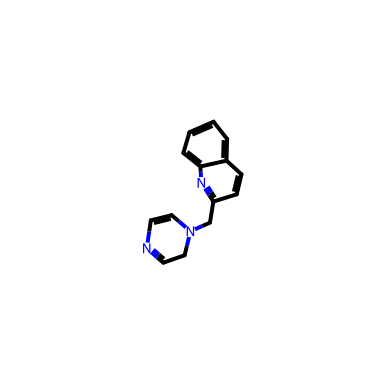 C1=CN(Cc2ccc3ccccc3n2)CC=N1